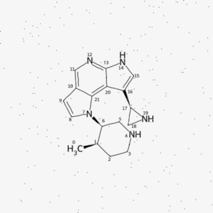 C[C@@H]1CCNC[C@@H]1n1ccc2cnc3[nH]cc([C@@H]4CN4)c3c21